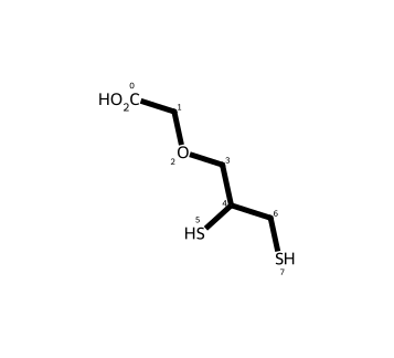 O=C(O)COCC(S)CS